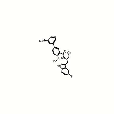 CCCOc1ccc(-c2cccc(SC)c2)cc1C(=O)NC(CO)Cc1c[nH]c2ccc(F)cc12